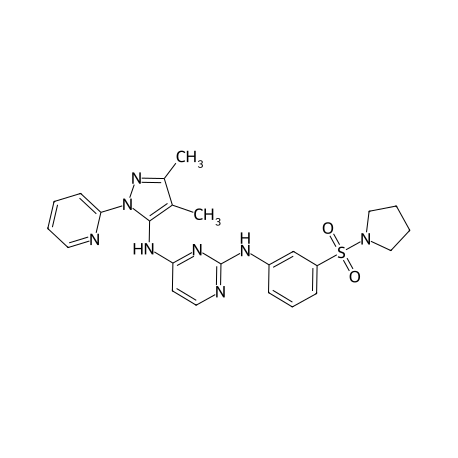 Cc1nn(-c2ccccn2)c(Nc2ccnc(Nc3cccc(S(=O)(=O)N4CCCC4)c3)n2)c1C